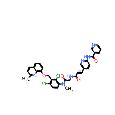 Cc1ccc2cccc(OCc3c(Cl)ccc(N(C)C(=O)CNC(=O)/C=C/c4ccc(NC(=O)c5cccnc5)nc4)c3Cl)c2n1